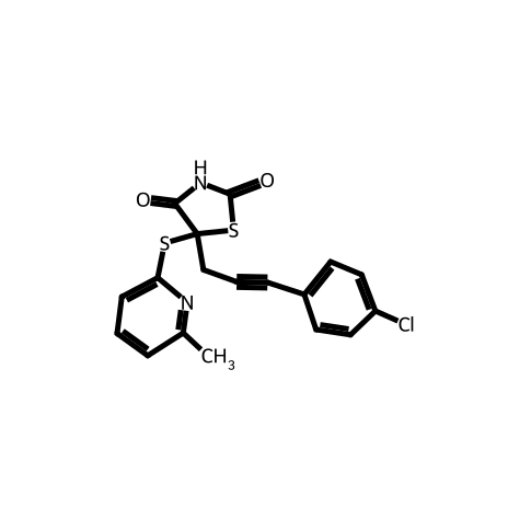 Cc1cccc(SC2(CC#Cc3ccc(Cl)cc3)SC(=O)NC2=O)n1